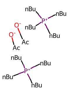 CC(=O)[O-].CC(=O)[O-].CCCC[P+](CCCC)(CCCC)CCCC.CCCC[P+](CCCC)(CCCC)CCCC